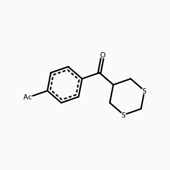 CC(=O)c1ccc(C(=O)C2CSCSC2)cc1